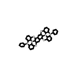 c1ccc(-n2c3cccc4oc5cc6c(cc7oc8cccc9c8p8c7c6oc6cccc(c68)n9-c6ccccc6)c6oc7cccc2c7p(c56)c43)cc1